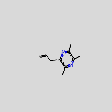 C=CCc1nc(C)c(C)nc1C